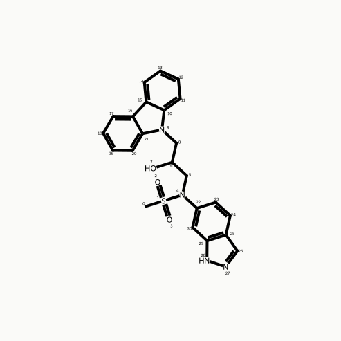 CS(=O)(=O)N(CC(O)Cn1c2ccccc2c2ccccc21)c1ccc2cn[nH]c2c1